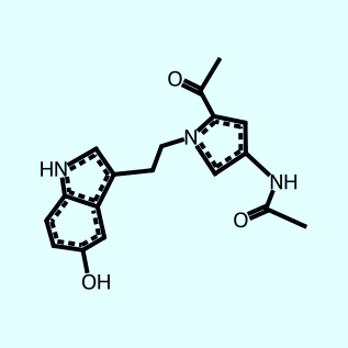 CC(=O)Nc1cc(C(C)=O)n(CCc2c[nH]c3ccc(O)cc23)c1